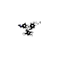 C/C=C/c1ccc(OCC)c(OCc2c(Cl)cc(Cl)c(=O)n2CCc2ccc(C(=O)O)cc2)c1